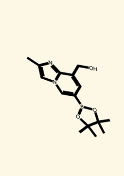 Cc1cn2cc(B3OC(C)(C)C(C)(C)O3)cc(CO)c2n1